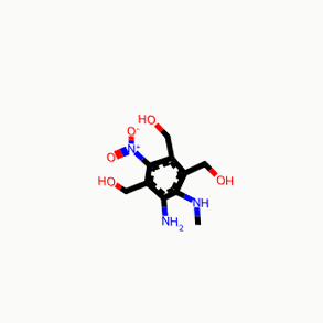 CNc1c(N)c(CO)c([N+](=O)[O-])c(CO)c1CO